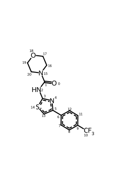 O=C(Nc1nc(-c2ccc(C(F)(F)F)cc2)cs1)N1CCOCC1